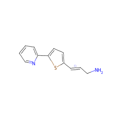 NC/C=C/c1ccc(-c2ccccn2)s1